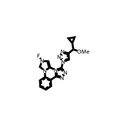 COC(c1cn(-c2nnc3n2C2=CN(F)CN2c2ccccc2-3)nn1)C1CC1